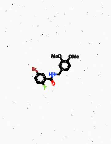 COc1ccc(CNC(=O)c2cc(Br)ccc2F)cc1OC